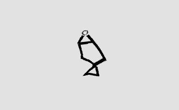 C1CC12CC1OC1C2